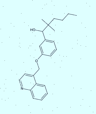 CCCCC(C)(C)C(O)c1cccc(OCc2ccnc3ccccc23)c1